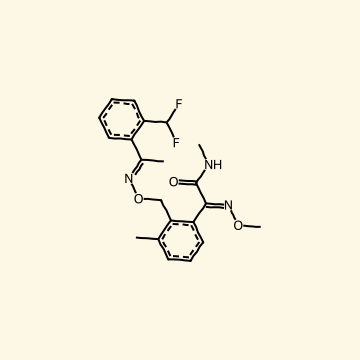 CNC(=O)/C(=N/OC)c1cccc(C)c1CO/N=C(\C)c1ccccc1C(F)F